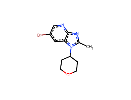 Cc1nc2ncc(Br)cc2n1C1CCOCC1